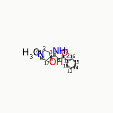 CN1CCC(O)(C(N)CC(=O)c2ccccc2)CC1